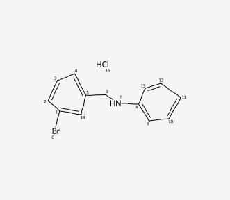 Brc1cccc(CNc2ccccc2)c1.Cl